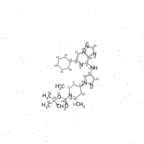 C[C@@H]1C[C@@H](n2cc(Nc3nc(C4CCCCC4)cn4ncnc34)cn2)C[C@H](C)N1C(=O)OC(C)(C)C